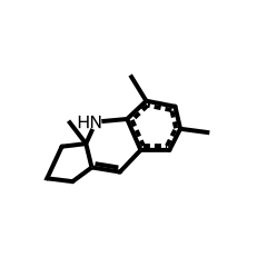 Cc1cc(C)c2c(c1)C=C1CCCC1(C)N2